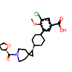 COc1c(Cl)cc(C(=O)O)cc1C1CCC([C@H]2CC23CCN(C(=O)[C@H]2CCCO2)CC3)CC1